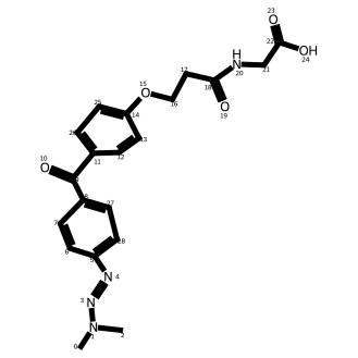 CN(C)N=Nc1ccc(C(=O)c2ccc(OCCC(=O)NCC(=O)O)cc2)cc1